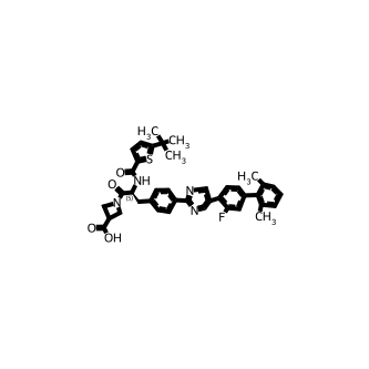 Cc1cccc(C)c1-c1ccc(-c2cnc(-c3ccc(C[C@H](NC(=O)c4ccc(C(C)(C)C)s4)C(=O)N4CC(C(=O)O)C4)cc3)nc2)c(F)c1